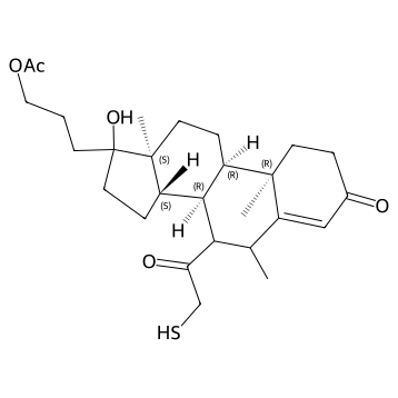 CC(=O)OCCCC1(O)CC[C@H]2[C@@H]3C(C(=O)CS)C(C)C4=CC(=O)CC[C@]4(C)[C@@H]3CC[C@@]21C